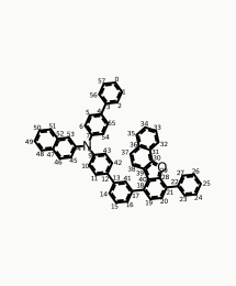 c1ccc(-c2ccc(N(c3ccc(-c4cccc(-c5ccc(-c6ccccc6)c6oc7c8ccccc8ccc7c56)c4)cc3)c3ccc4ccccc4c3)cc2)cc1